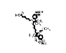 COCC[N+]1=C(/C=C/C=C/C=C2/N(CCCCCC(=O)O)c3ccc(S(=O)(=O)O)cc3C2(C)C)C(C)(C)c2cc(S(=O)(=O)O)ccc21